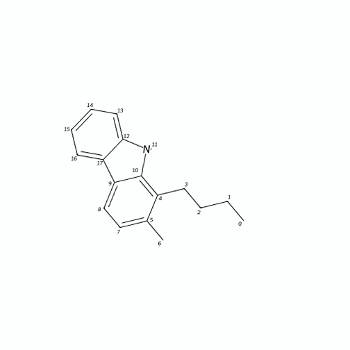 CCCCc1c(C)ccc2c1[N]c1ccccc1-2